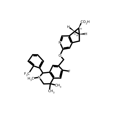 CN1CC(C)(C)c2cc(F)c(COc3cc4c(cn3)[C@H]3[C@@H](C4)[C@@H]3C(=O)O)cc2C1c1ccccc1C(F)(F)F